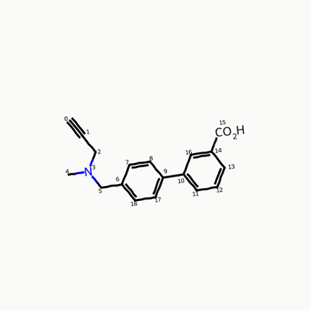 C#CCN(C)Cc1ccc(-c2cccc(C(=O)O)c2)cc1